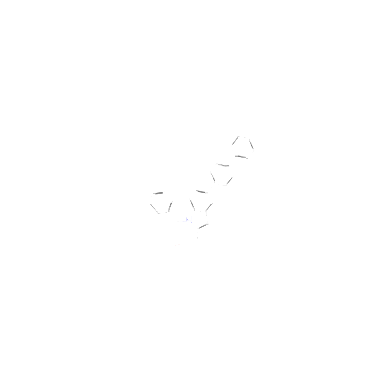 OCc1[c]c2cc(-c3ccc(-c4ccccc4)cc3)ccc2n1Cc1ccccc1